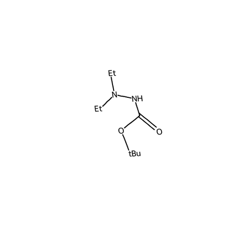 CCN(CC)NC(=O)OC(C)(C)C